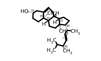 CC(/C=C/[C@H](C)C(C)C)[C@H]1CC[C@H]2[C@@H]3CC=C4C[C@@H](O)CC[C@]4(C)[C@H]3CC[C@]12C